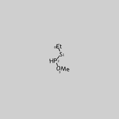 CCSPOC